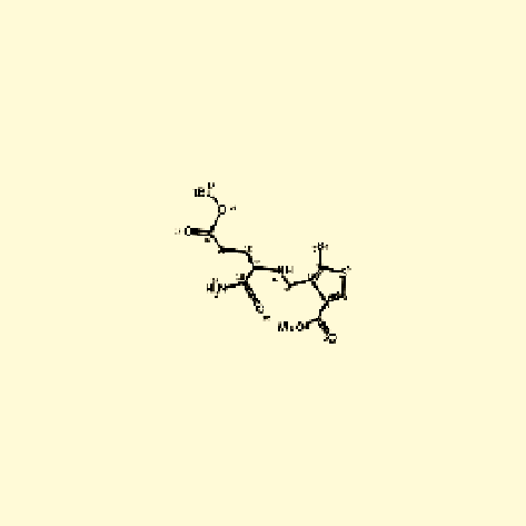 COC(=O)c1csc(Br)c1CNC(CCC(=O)OC(C)(C)C)C(N)=O